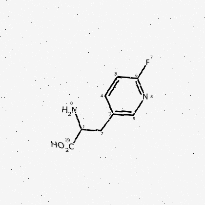 NC(Cc1ccc(F)nc1)C(=O)O